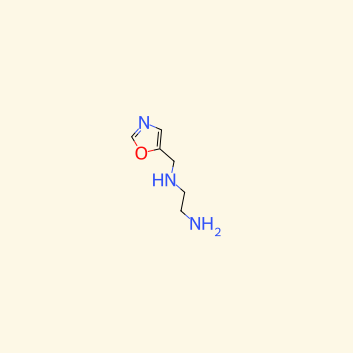 NCCNCc1cnco1